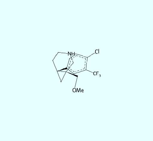 COC[C@]12CNCC[C@@]1(c1ccc(Cl)c(C(F)(F)F)c1)C2